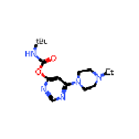 CCN1CCN(c2cc(OC(=O)NC(C)(C)C)ncn2)CC1